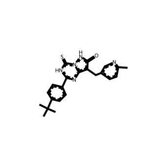 Cc1ccc(Cc2c(=O)[nH]n3c(=S)[nH]c(-c4ccc(C(C)(C)C)cc4)nc23)cn1